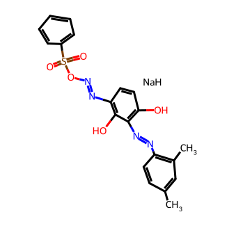 Cc1ccc(N=Nc2c(O)ccc(N=NOS(=O)(=O)c3ccccc3)c2O)c(C)c1.[NaH]